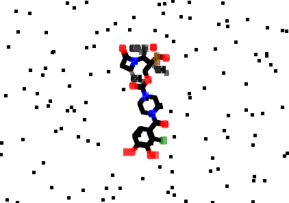 C[C@@H]1CC(=O)N1[C@@H](C(=O)O)[C@](C)(COC(=O)N1CCN(C(=O)c2ccc(O)c(O)c2Cl)CC1)[SH](=O)=O